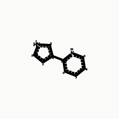 [c]1[nH]ccc1-c1ccccn1